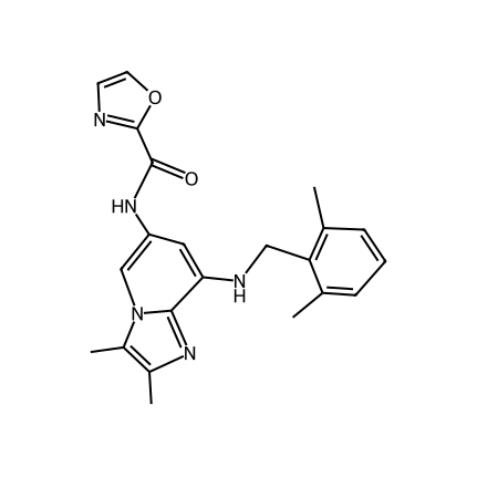 Cc1cccc(C)c1CNc1cc(NC(=O)c2ncco2)cn2c(C)c(C)nc12